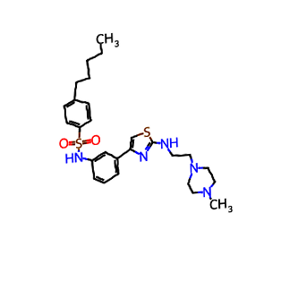 CCCCCc1ccc(S(=O)(=O)Nc2cccc(-c3csc(NCCN4CCN(C)CC4)n3)c2)cc1